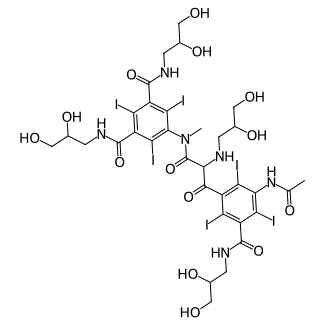 CC(=O)Nc1c(I)c(C(=O)NCC(O)CO)c(I)c(C(=O)C(NCC(O)CO)C(=O)N(C)c2c(I)c(C(=O)NCC(O)CO)c(I)c(C(=O)NCC(O)CO)c2I)c1I